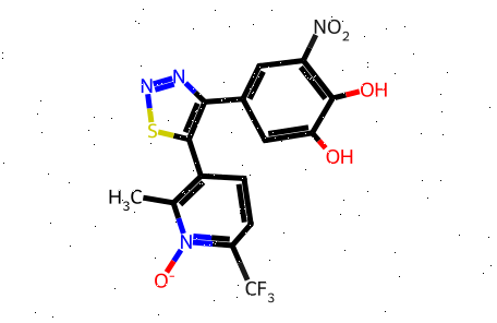 Cc1c(-c2snnc2-c2cc(O)c(O)c([N+](=O)[O-])c2)ccc(C(F)(F)F)[n+]1[O-]